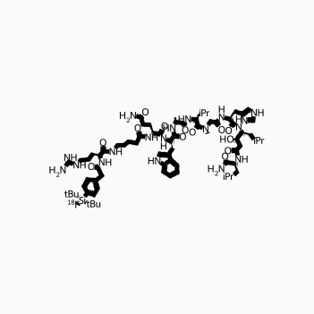 CC(C)C[C@H](NC(=O)C[C@H](O)[C@H](CC(C)C)NC(=O)[C@H](Cc1c[nH]cn1)NC(=O)CN(C)C(=O)[C@@H](NC(=O)[C@H](C)NC(=O)[C@H](Cc1c[nH]c2ccccc12)NC(=O)[C@H](CCC(N)=O)NC(=O)CCCCNC(=O)[C@H](CCCNC(=N)N)NC(=O)Cc1ccc([Si]([18F])(C(C)(C)C)C(C)(C)C)cc1)C(C)C)C(N)=O